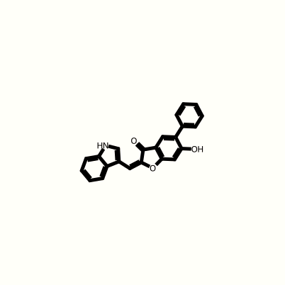 O=C1C(=Cc2c[nH]c3ccccc23)Oc2cc(O)c(-c3ccccc3)cc21